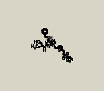 CC[C@H](CO)Nc1nc(NCc2ccccc2)c2ncn(Cc3ccc(CCS(=O)(=O)n4cncn4)s3)c2n1